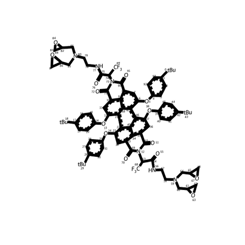 CC(C)(C)c1ccc(Oc2cc3c4c(cc(Oc5ccc(C(C)(C)C)cc5)c5c6c(Oc7ccc(C(C)(C)C)cc7)cc7c8c(cc(Oc9ccc(C(C)(C)C)cc9)c(c2c45)c86)C(=O)N(C(C(=O)NCCN(CC2CO2)CC2CO2)C(F)(F)F)C7=O)C(=O)N(C(C(=O)NCCN(CC2CO2)CC2CO2)C(F)(F)F)C3=O)cc1